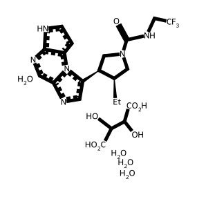 CC[C@@H]1CN(C(=O)NCC(F)(F)F)C[C@@H]1c1cnc2cnc3[nH]ccc3n12.O.O.O.O.O=C(O)C(O)C(O)C(=O)O